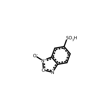 O=S(=O)(O)c1ccc2no[n+]([O-])c2c1